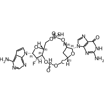 Nc1nc2c(ncn2[C@@H]2O[C@@H]3CO[PH](=O)O[C@H]4[C@H](F)[C@H](n5ccc6c(N)ncnc65)O[C@@H]4CO[P@@](=O)(S)O[C@@H]2C3)c(=O)[nH]1